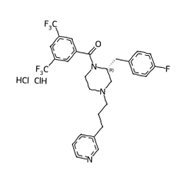 Cl.Cl.O=C(c1cc(C(F)(F)F)cc(C(F)(F)F)c1)N1CCN(CCCc2cccnc2)C[C@H]1Cc1ccc(F)cc1